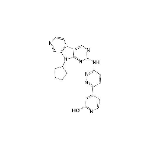 Oc1cc(-c2ccc(Nc3ncc4c5ccncc5n(C5CCCC5)c4n3)nn2)ccn1